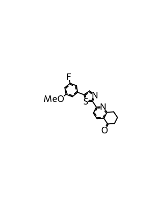 COc1cc(F)cc(-c2cnc(-c3ccc4c(n3)CCCC4=O)s2)c1